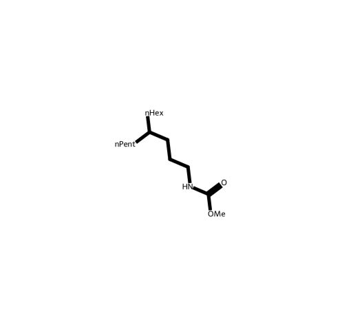 CCCCCCC(CCCCC)CCCNC(=O)OC